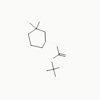 C=C(N[C@@H]1CCCC(F)(F)C1)OC(C)(C)C